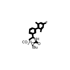 Cc1cc(F)cc(C)c1-c1cccc(C(CC(=O)O)NC(=O)OC(C)(C)C)c1